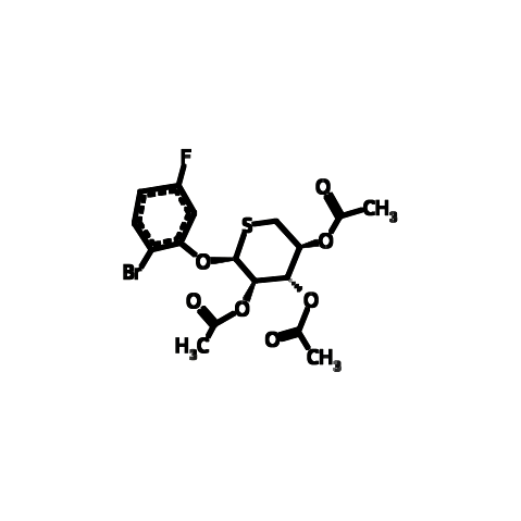 CC(=O)O[C@@H]1[C@@H](OC(C)=O)[C@@H](Oc2cc(F)ccc2Br)SC[C@H]1OC(C)=O